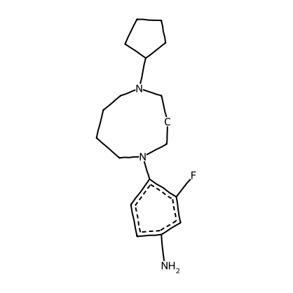 Nc1ccc(N2CCCCN(C3CCCC3)CCC2)c(F)c1